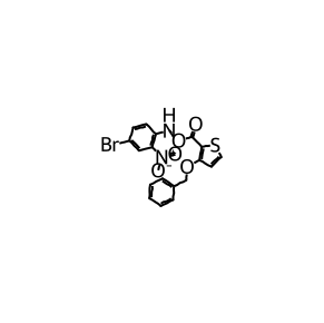 O=C(ONc1ccc(Br)cc1[N+](=O)[O-])c1sccc1OCc1ccccc1